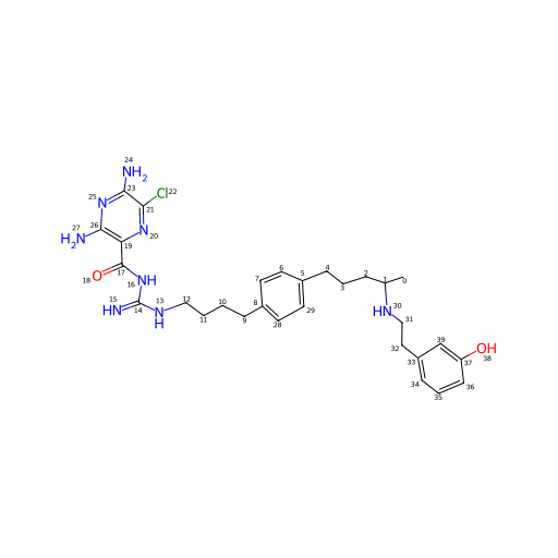 CC(CCCc1ccc(CCCCNC(=N)NC(=O)c2nc(Cl)c(N)nc2N)cc1)NCCc1cccc(O)c1